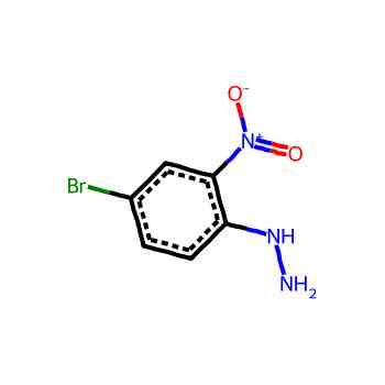 NNc1ccc(Br)cc1[N+](=O)[O-]